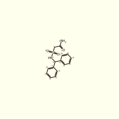 NC(=O)CS(=O)(=O)NC(c1ccccc1)c1ccccc1